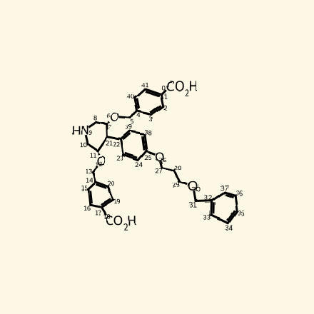 O=C(O)c1ccc(CO[C@H]2CNC[C@@H](OCc3ccc(C(=O)O)cc3)C2c2ccc(OCCCOCc3ccccc3)cc2)cc1